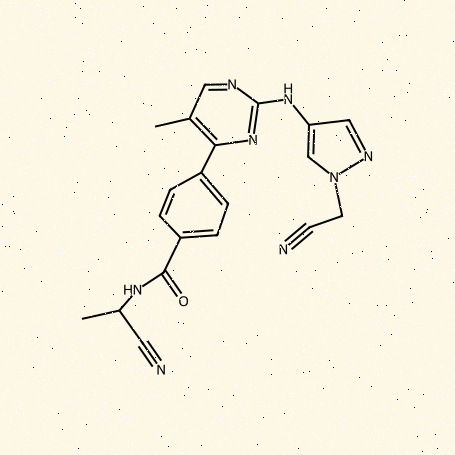 Cc1cnc(Nc2cnn(CC#N)c2)nc1-c1ccc(C(=O)NC(C)C#N)cc1